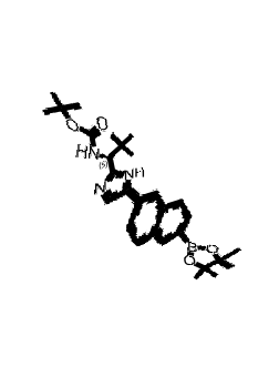 CC(C)(C)OC(=O)N[C@H](c1ncc(-c2ccc3cc(B4OC(C)(C)C(C)(C)O4)ccc3c2)[nH]1)C(C)(C)C